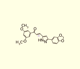 COc1cc(OC)cc(C(=O)/C=C/c2cc(-c3ccc4c(c3)OCO4)n[nH]2)c1